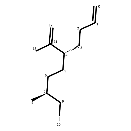 C=CCC[C@H](CC[C@H](C)CI)C(=C)C